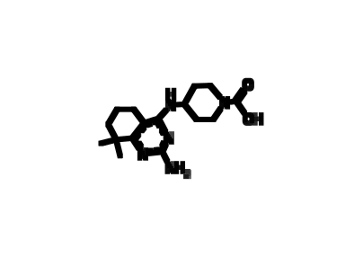 CC1(C)CCCc2c(NC3CCN(C(=O)O)CC3)nc(N)nc21